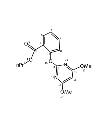 CCCOC(=O)c1ccccc1Oc1nc(OC)cc(OC)n1